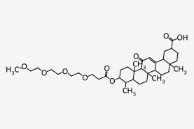 COCCOCCOCCOCCC(=O)OC1CCC2(C)C(CCC3(C)C4CCC5(C)CCC(C(=O)O)CC5C4=CC(=O)C32)C1C